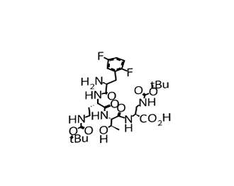 C[C@@H](O)[C@H](NC(=O)[C@H](CCNC(=O)OC(C)(C)C)NC(=O)[C@@H](N)Cc1cc(F)ccc1F)C(=O)N[C@@H](CNC(=O)OC(C)(C)C)C(=O)O